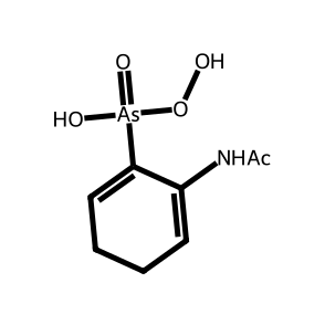 CC(=O)NC1=CCCC=C1[As](=O)(O)OO